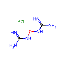 Cl.N=C(N)NONC(=N)N